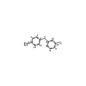 CCc1ccc(Cc2[c]ccc(C)c2)cc1